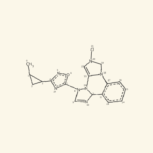 CC1CC1c1noc(N2C=NC3c4ccccc4N4CN(Cl)C=C4N32)n1